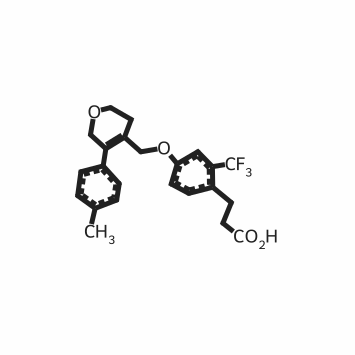 Cc1ccc(C2=C(COc3ccc(CCC(=O)O)c(C(F)(F)F)c3)CCOC2)cc1